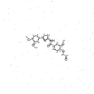 COc1ccc(-c2csc(NC(=O)c3ccc(OCC=O)c(OC)c3)n2)cc1OC